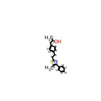 C=C(O)Cc1ccc(CCc2nc(-c3ccccc3)c(C)s2)cc1